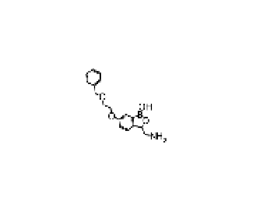 NCC1OB(O)c2cc(OCCOCc3ccccc3)ccc21